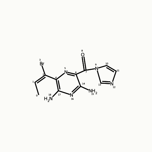 C/C=C(/Br)c1nc(C(=O)n2ccnc2)c(N)nc1N